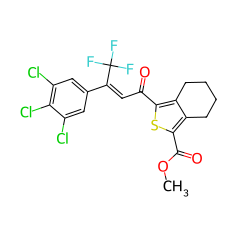 COC(=O)c1sc(C(=O)/C=C(/c2cc(Cl)c(Cl)c(Cl)c2)C(F)(F)F)c2c1CCCC2